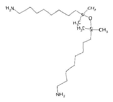 C[Si](C)(CCCCCCCCN)O[Si](C)(C)CCCCCCCCN